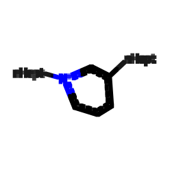 CCCCCCCc1ccc[n+](CCCCCCC)c1